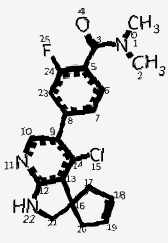 CN(C)C(=O)c1ccc(-c2cnc3c(c2Cl)C2(CC=CC2)CN3)cc1F